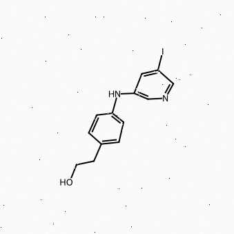 OCCc1ccc(Nc2cncc(I)c2)cc1